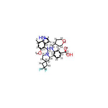 COc1cc(C)c2[nH]ccc2c1CN1CCC2(C[C@@H]1c1ccc(C(=O)O)cc1NCC1CCOCC1)CC(F)(F)C2